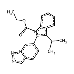 CCOC(=O)n1c(-c2ccc3cnnn3c2)c(C(C)C)c2ccccc21